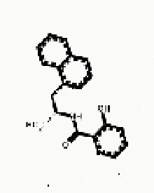 O=C(N[C@@H](Cc1cccc2ccccc12)C(=O)O)c1ccccc1O